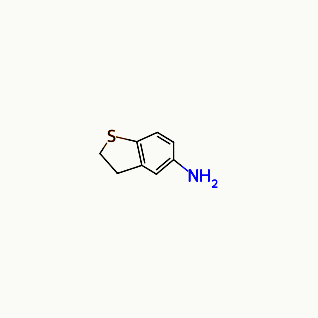 Nc1ccc2c(c1)CCS2